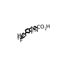 O=C(O)c1cn(Cc2ccc(N3CC4[C@H](C3)C4(F)F)cc2F)cn1